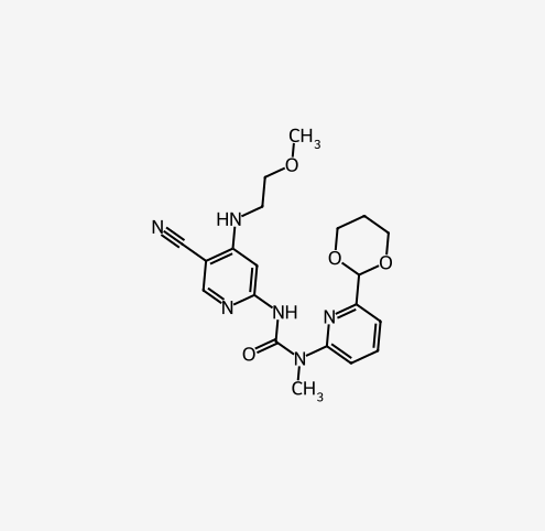 COCCNc1cc(NC(=O)N(C)c2cccc(C3OCCCO3)n2)ncc1C#N